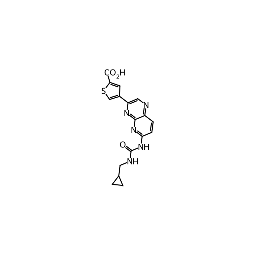 O=C(NCC1CC1)Nc1ccc2ncc(-c3csc(C(=O)O)c3)nc2n1